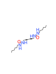 CCCCCCNC(=O)NCC#CC#CCNC(=O)NCCCCCC